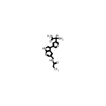 CC(C)[C@](N)(C(N)=O)c1cncc(-c2c[nH]c3ncc(CNC(=O)CC(F)(F)F)cc23)c1